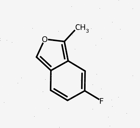 Cc1occ2ccc(F)cc12